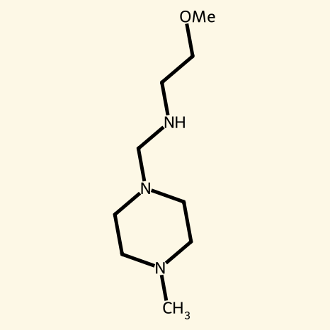 COCCNCN1CCN(C)CC1